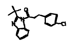 CC(C)(C)c1nc2ccccc2n1C(=O)CCc1ccc(Cl)cc1